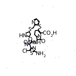 CO/N=C(\C(=O)NC1C(=O)N2C(C(=O)O)=C(Sc3cccnc3CSC3CCNC3)CCC12)c1nc(N)sc1Cl